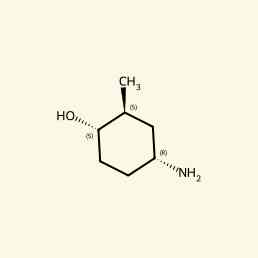 C[C@H]1C[C@H](N)CC[C@@H]1O